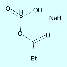 CCC(=O)O[PH](=O)O.[NaH]